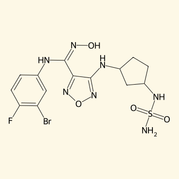 NS(=O)(=O)NC1CCC(Nc2nonc2/C(=N\O)Nc2ccc(F)c(Br)c2)C1